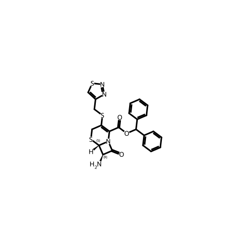 N[C@@H]1C(=O)N2C(C(=O)OC(c3ccccc3)c3ccccc3)=C(SCc3csnn3)CS[C@@H]12